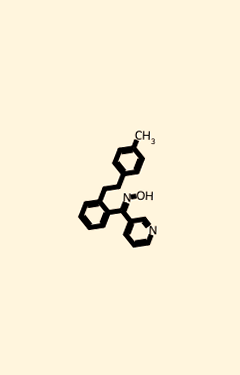 Cc1ccc(CCc2ccccc2C(=NO)c2cccnc2)cc1